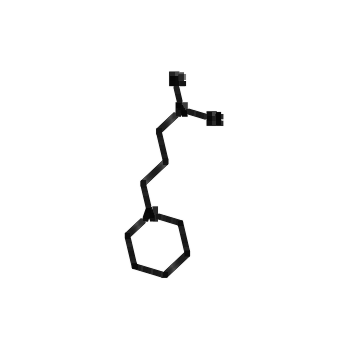 CCN(CC)CC[CH2][Al]1[CH2]CCC[CH2]1